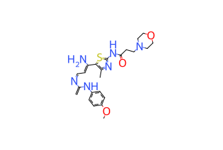 C=C(/N=C\C=C(/N)c1sc(NC(=O)CCN2CCOCC2)nc1C)Nc1ccc(OC)cc1